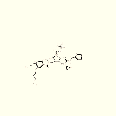 COCCCOc1cc(C(=O)N(CC2CN(C(=O)OC(C)(C)C)CC2CN(C(=O)NCc2ccccc2)C2CC2)C(C)C)ccc1OC